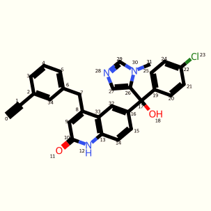 C#Cc1cccc(Cc2cc(=O)[nH]c3ccc(C(O)(c4ccc(Cl)cc4)c4cncn4C)cc23)c1